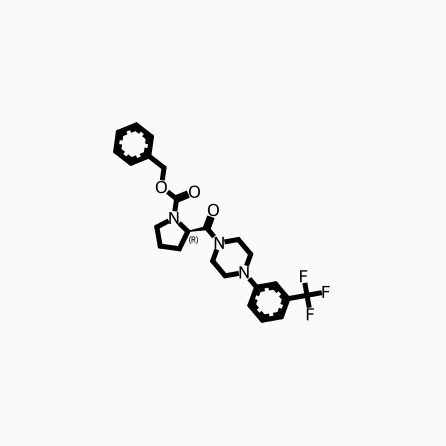 O=C([C@H]1CCCN1C(=O)OCc1ccccc1)N1CCN(c2cccc(C(F)(F)F)c2)CC1